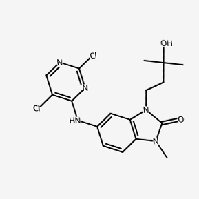 Cn1c(=O)n(CCC(C)(C)O)c2cc(Nc3nc(Cl)ncc3Cl)ccc21